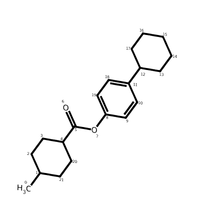 CC1CCC(C(=O)Oc2ccc(C3CCCCC3)cc2)CC1